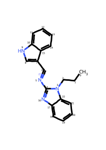 CCCn1c(/N=C/c2c[nH]c3ccccc23)nc2ccccc21